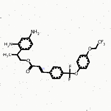 [CH2]C(COC(=O)/C=C/c1ccc(C(F)(F)Oc2ccc(OCC(F)(F)F)cc2)cc1)c1ccc(N)cc1N